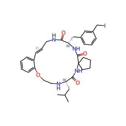 CC(C)C[C@@H]1NCCOc2ccccc2/C=C/CNC(=O)[C@H](Cc2cccc(CI)c2)NC(=O)C2(CCCC2)NC1=O